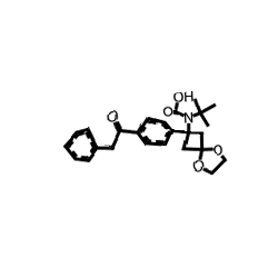 CC(C)(C)N(C(=O)O)C1(c2ccc(C(=O)Cc3ccccc3)cc2)CC2(C1)OCCO2